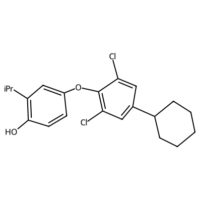 CC(C)c1cc(Oc2c(Cl)cc(C3CCCCC3)cc2Cl)ccc1O